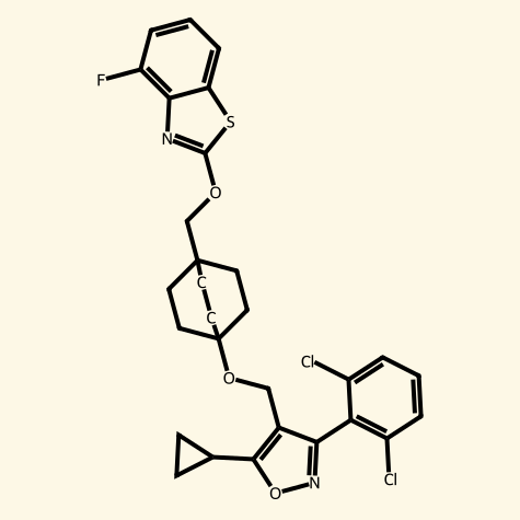 Fc1cccc2sc(OCC34CCC(OCc5c(-c6c(Cl)cccc6Cl)noc5C5CC5)(CC3)CC4)nc12